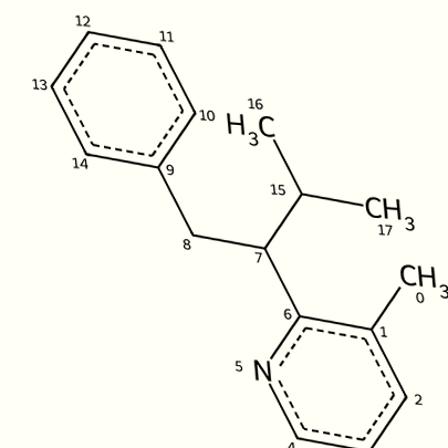 Cc1cccnc1C(Cc1ccccc1)C(C)C